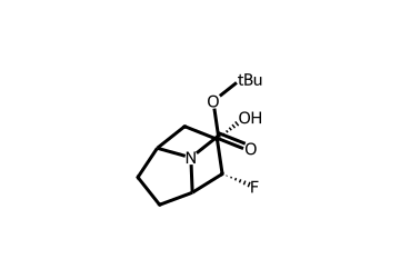 CC(C)(C)OC(=O)N1C2CCC1[C@@H](F)[C@@H](O)C2